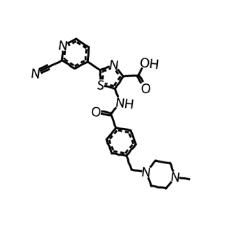 CN1CCN(Cc2ccc(C(=O)Nc3sc(-c4ccnc(C#N)c4)nc3C(=O)O)cc2)CC1